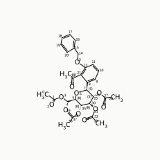 CC(=O)OC[C@H]1O[C@@H](c2cccc(OCc3ccccc3)c2C(C)=O)[C@H](OC(C)=O)[C@@H](OC(C)=O)[C@@H]1OC(C)=O